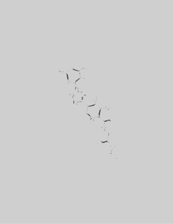 CCOC(=O)CNC(=O)c1ncc(-c2nnn(-c3cc(Cl)cc(Cl)c3)n2)c(C)c1O